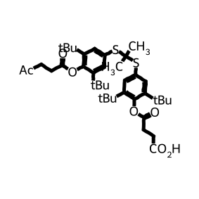 CC(=O)CCC(=O)Oc1c(C(C)(C)C)cc(SC(C)(C)Sc2cc(C(C)(C)C)c(OC(=O)CCC(=O)O)c(C(C)(C)C)c2)cc1C(C)(C)C